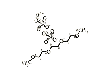 COCCOCCOCCOC.O=S(=O)([O-])[O-].O=S(=O)([O-])[O-].[Ti+4]